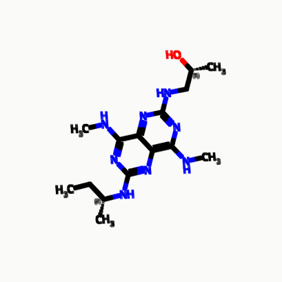 CC[C@@H](C)Nc1nc(NC)c2nc(NC[C@@H](C)O)nc(NC)c2n1